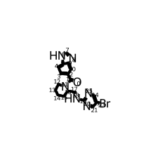 O=C(c1ccc2[nH]cnc2c1)N1CCCCC1CNc1ncc(Br)cn1